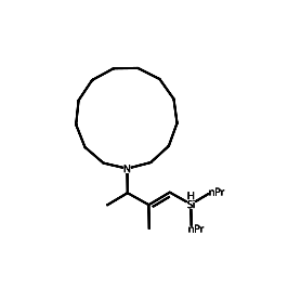 CCC[SiH](C=C(C)C(C)N1CCCCCCCCCCCC1)CCC